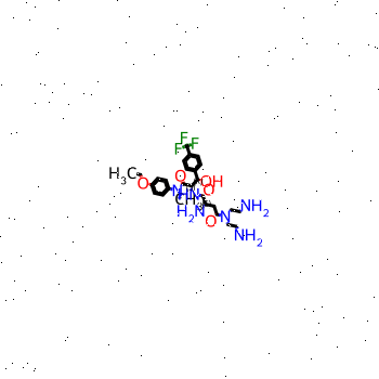 CCOc1ccc(N(C)C(=O)[C@@H](NC(=O)[C@@H](N)CC(=O)N(CCN)CCN)[C@H](O)c2ccc(C(F)(F)F)cc2)cc1